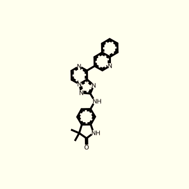 CC1(C)C(=O)Nc2cc(Nc3nc4c(-c5cnc6ccccc6c5)nccn4n3)ccc21